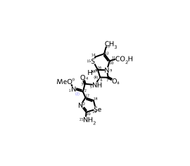 CO/N=C(\C(=O)N[C@@H]1C(=O)N2C(C(=O)O)=C(C)CS[C@H]12)c1c[se]c(N)n1